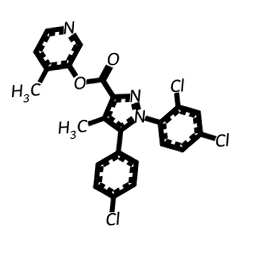 Cc1ccncc1OC(=O)c1nn(-c2ccc(Cl)cc2Cl)c(-c2ccc(Cl)cc2)c1C